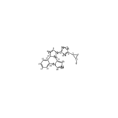 CC1CC1c1nc(N2C=NC3c4ccccc4-n4cncc4N32)no1